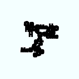 COCCOCCOCCN(CC(C)(C)SCCCC(=O)ON1CC(=O)CCC1=O)c1cc(COc2cc3c(cc2OC)C(=O)N2c4ccccc4C[C@H]2C=N3)cc(COc2cc3c(cc2OC)C(=O)N2c4ccccc4C[C@H]2CN3)c1